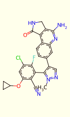 Cn1ncc(-c2ccc3c4c(c(N)nc3c2)CNC4=O)c1-c1c(F)c(Cl)cc(OC2CC2)c1C#N